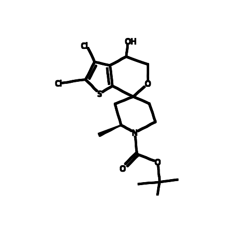 C[C@H]1CC2(CCN1C(=O)OC(C)(C)C)OCC(O)c1c2sc(Cl)c1Cl